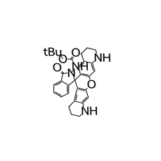 CC(C)(C)OC(=O)NN1C(=O)c2ccccc2C12c1cc3c(cc1Oc1cc4c(cc12)CCCN4)NCCC3